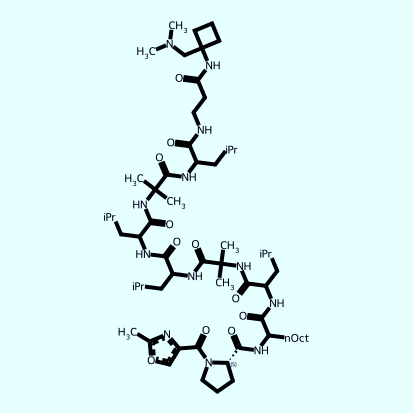 CCCCCCCCC(NC(=O)[C@@H]1CCCN1C(=O)c1coc(C)n1)C(=O)NC(CC(C)C)C(=O)NC(C)(C)C(=O)NC(CC(C)C)C(=O)NC(CC(C)C)C(=O)NC(C)(C)C(=O)NC(CC(C)C)C(=O)NCCC(=O)NC1(CN(C)C)CCC1